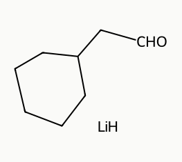 O=CCC1CCCCC1.[LiH]